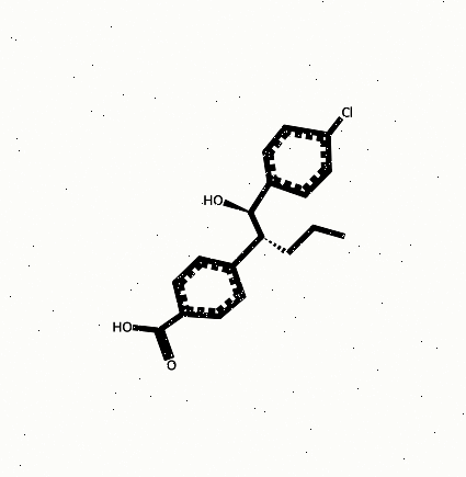 CCC[C@H](c1ccc(C(=O)O)cc1)[C@@H](O)c1ccc(Cl)cc1